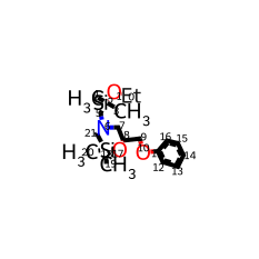 CCO[Si](C)(C)CN1CC(COc2ccccc2)O[Si](C)(C)C1